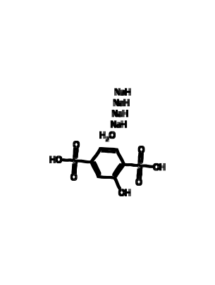 O.O=S(=O)(O)c1ccc(S(=O)(=O)O)c(O)c1.[NaH].[NaH].[NaH].[NaH]